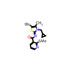 CSc1ncccc1C(=O)/N=c1\sc(C(C)(C)C)c(C)n1CC1CC1